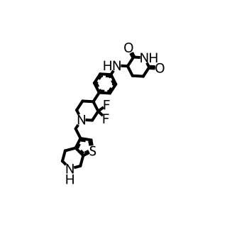 O=C1CCC(Nc2ccc(C3CCN(Cc4csc5c4CCNC5)CC3(F)F)cc2)C(=O)N1